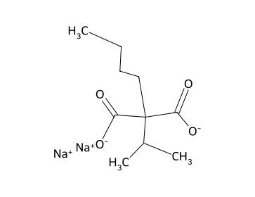 CCCCC(C(=O)[O-])(C(=O)[O-])C(C)C.[Na+].[Na+]